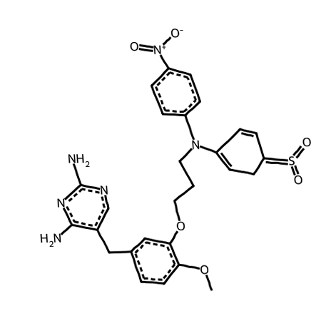 COc1ccc(Cc2cnc(N)nc2N)cc1OCCCN(C1=CCC(=S(=O)=O)C=C1)c1ccc([N+](=O)[O-])cc1